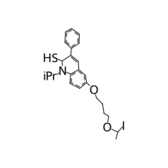 CC(I)OCCCCOc1ccc2c(c1)C=C(c1ccccc1)C(S)N2C(C)C